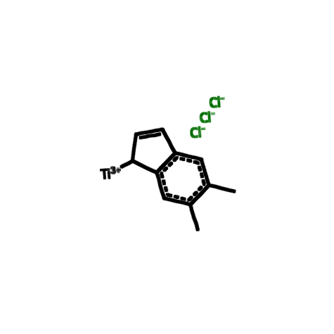 Cc1cc2c(cc1C)[CH]([Ti+3])C=C2.[Cl-].[Cl-].[Cl-]